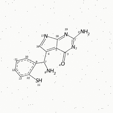 NC1=NC(=O)C2=C(C(N)c3ccccc3S)C=NC2=N1